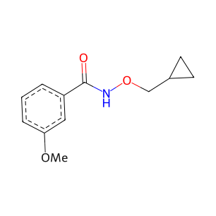 COc1cccc(C(=O)NOCC2CC2)c1